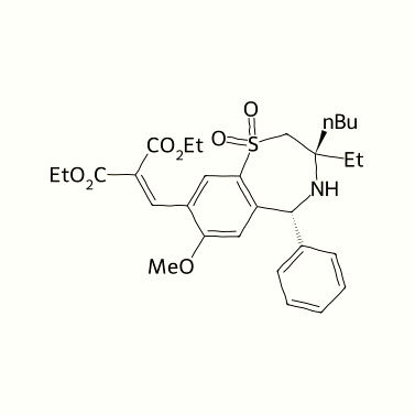 CCCC[C@]1(CC)CS(=O)(=O)c2cc(C=C(C(=O)OCC)C(=O)OCC)c(OC)cc2[C@@H](c2ccccc2)N1